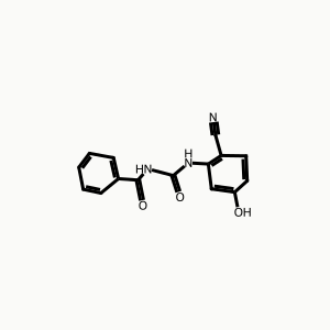 N#Cc1ccc(O)cc1NC(=O)NC(=O)c1ccccc1